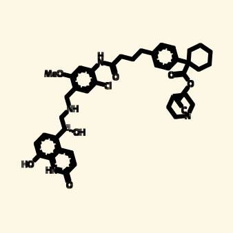 COc1cc(NC(=O)CCCc2ccc(C3(C(=O)OC4CN5CCC4CC5)CCCCC3)cc2)c(Cl)cc1CNC[C@H](O)c1ccc(O)c2[nH]c(=O)ccc12